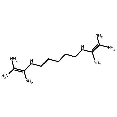 NC(N)=C(N)NCCCCCNC(N)=C(N)N